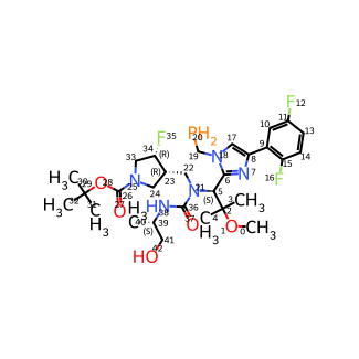 COC(C)(C)[C@H](c1nc(-c2cc(F)ccc2F)cn1CP)N(C[C@@H]1CN(C(=O)OC(C)(C)C)C[C@@H]1F)C(=O)N[C@@H](C)CO